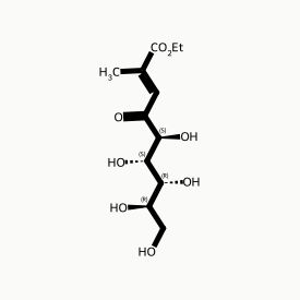 CCOC(=O)C(C)=CC(=O)[C@@H](O)[C@@H](O)[C@H](O)[C@H](O)CO